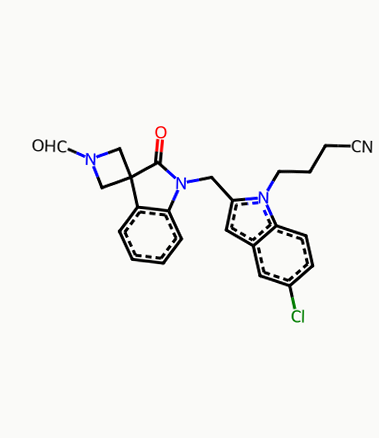 N#CCCCn1c(CN2C(=O)C3(CN(C=O)C3)c3ccccc32)cc2cc(Cl)ccc21